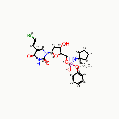 CCOC(=O)C1(NP(=O)(OCC2O[C@@H](n3cc(/C=C/Br)c(=O)[nH]c3=O)C[C@H]2O)Oc2ccccc2)CCCC1